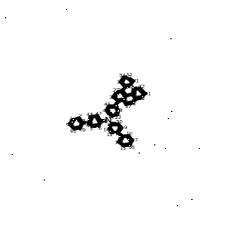 c1ccc(-c2ccc(N(c3ccc(-c4ccccc4)cc3)c3ccc(-c4ccc(-c5ccccc5)c5c4ccc4ccccc45)cc3)cc2)cc1